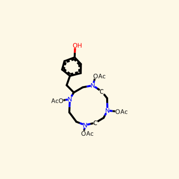 CC(=O)ON1CCN(OC(C)=O)CCN(OC(C)=O)C(Cc2ccc(O)cc2)CN(OC(C)=O)CC1